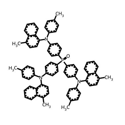 Cc1ccc(N(c2ccc(P(=O)(c3ccc(N(c4ccc(C)cc4)c4ccc(C)c5ccccc45)cc3)c3ccc(N(c4ccc(C)cc4)c4ccc(C)c5ccccc45)cc3)cc2)c2ccc(C)c3ccccc23)cc1